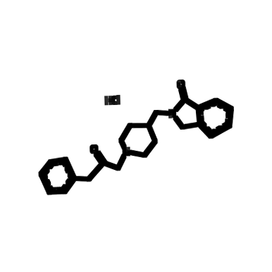 Cl.O=C(Cc1ccccc1)CN1CCC(CN2Cc3ccccc3C2=O)CC1